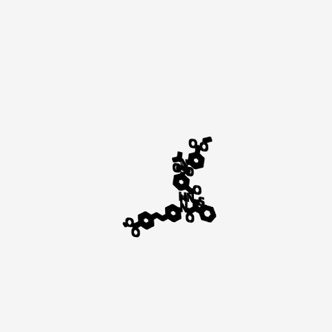 CCOC(=O)c1cccc(N(C(C)C)S(=O)(=O)c2cccc(C(=O)Nc3sc4c(c3C(=O)Nc3ccc(CCc5ccc(C(=O)OC)cc5)cc3)CCCC4)c2)c1